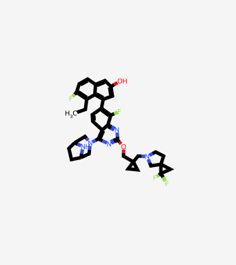 CCc1c(F)ccc2cc(O)cc(-c3ccc4c(N5CC6CCC(C5)N6)nc(OCC5(CN6CCC7(C6)CC7(F)F)CC5)nc4c3F)c12